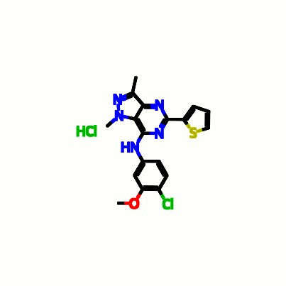 COc1cc(Nc2nc(-c3cccs3)nc3c(C)nn(C)c23)ccc1Cl.Cl